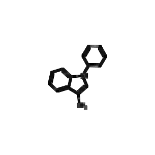 CC1=C[SH](c2ccccc2)c2ccccc21